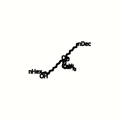 CCCCCCCCCCCCCCCCCC(=O)OC(=O)CCCCCCC/C=C\C[C@H](O)CCCCCC.[CaH2].[CaH2]